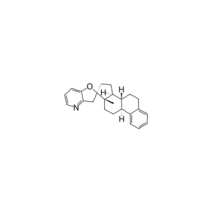 C[C@]12CC[C@@H]3c4ccccc4CC[C@H]3[C@@H]1CC[C@@]21Cc2ncccc2O1